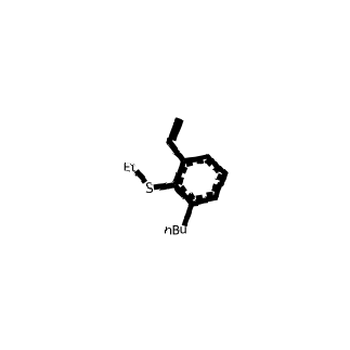 C=Cc1cccc(CCCC)c1SCC